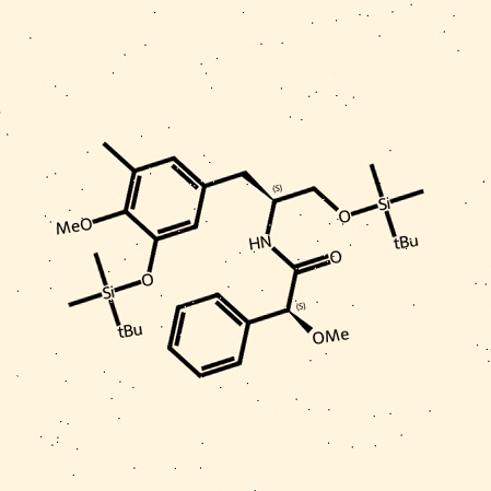 COc1c(C)cc(C[C@@H](CO[Si](C)(C)C(C)(C)C)NC(=O)[C@@H](OC)c2ccccc2)cc1O[Si](C)(C)C(C)(C)C